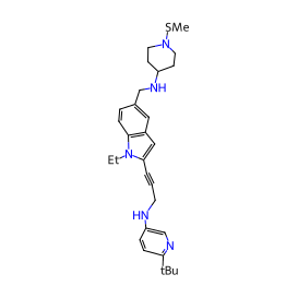 CCn1c(C#CCNc2ccc(C(C)(C)C)nc2)cc2cc(CNC3CCN(SC)CC3)ccc21